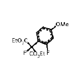 CCOC(=O)C(F)(C(=O)OCC)c1ccc(OC)cc1F